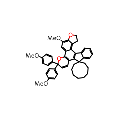 COc1ccc(C2(c3ccc(OC)cc3)C=Cc3c4c(c5c6c(c(OC)cc5c3O2)OCC6)-c2ccccc2C42CCCCCCCC2)cc1